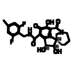 Cc1cc(F)c(CNC(=O)c2c3n4c(c(O)c2=O)C(=O)N2CCCC[C@]4(C2)[C@@H](O)[C@@H]3O)c(F)c1